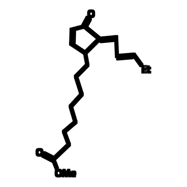 CC/C=C/C=C1/C(=O)C=CC1CCCCCCCC(=O)OC